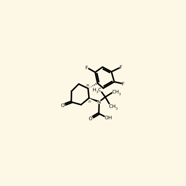 CC(C)(C)N(C(=O)O)[C@H]1CC(=O)CC[C@@H]1c1cc(F)c(F)cc1F